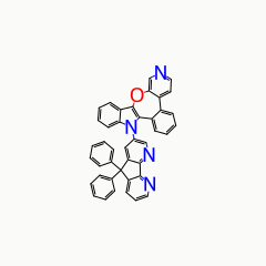 c1ccc(C2(c3ccccc3)c3cccnc3-c3ncc(-n4c5c(c6ccccc64)Oc4cnccc4-c4ccccc4-5)cc32)cc1